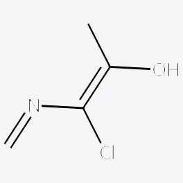 C=N/C(Cl)=C(\C)O